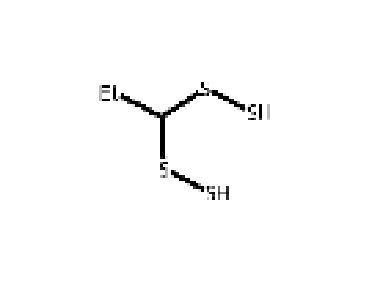 CCC(SS)SS